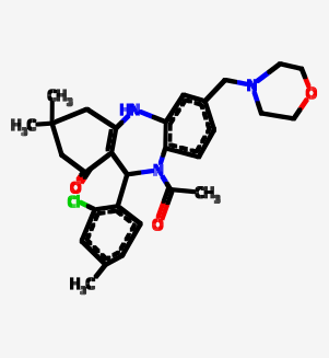 CC(=O)N1c2ccc(CN3CCOCC3)cc2NC2=C(C(=O)CC(C)(C)C2)C1c1ccc(C)cc1Cl